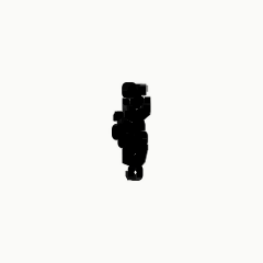 COc1ccc(S(=O)(=O)c2cc3cnc([S+](C)[O-])nc3n(C)c2=O)cc1